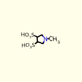 CN1CC(S(=O)(=O)O)C(S(=O)(=O)O)C1